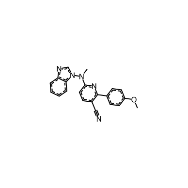 COc1ccc(-c2nc(N(C)n3cnc4ccccc43)ccc2C#N)cc1